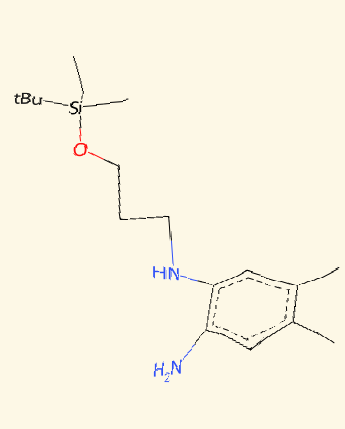 Cc1cc(N)c(NCCCO[Si](C)(C)C(C)(C)C)cc1C